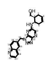 OC[C@H]1CC=CC[C@H]1Nc1cnc2nnn(Cc3ccc4ncccc4c3)c2n1